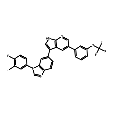 Fc1ccc(-n2cnc3ccc(-c4c[nH]c5ncc(-c6cccc(OC(F)(F)F)c6)cc45)cc32)cc1Cl